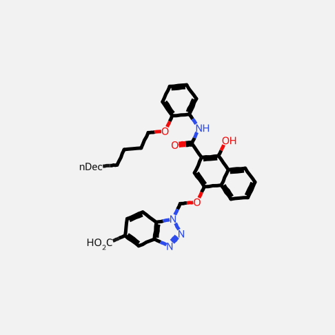 CCCCCCCCCCCCCCOc1ccccc1NC(=O)c1cc(OCn2nnc3cc(C(=O)O)ccc32)c2ccccc2c1O